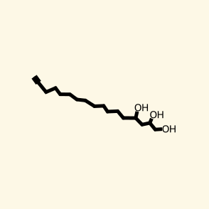 C#CCCCCCCCCCCCC(O)CC(O)CO